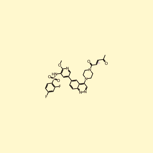 COc1ncc(-c2ccc3nncc(N4CCN(C(=O)/C=C/C(C)=O)CC4)c3c2)cc1NS(=O)(=O)c1ccc(F)cc1F